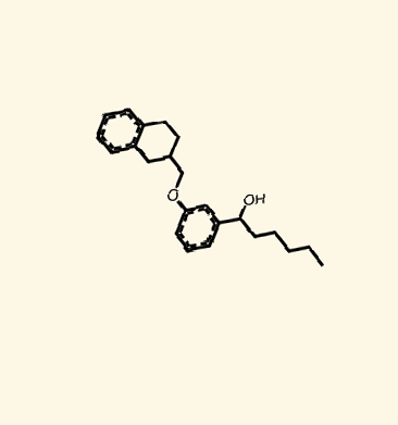 CCCCCC(O)c1cccc(OCC2CCc3ccccc3C2)c1